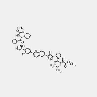 COC(=O)N[C@@H](CC(C)C)C(=O)N1CCC[C@H]1c1ncc(-c2ccc3nc(-c4ccc(-c5cnc([C@@H]6CCCN6C(=O)[C@H](NC(=O)OC)c6ccccc6)[nH]5)c(F)c4)ccc3c2)[nH]1